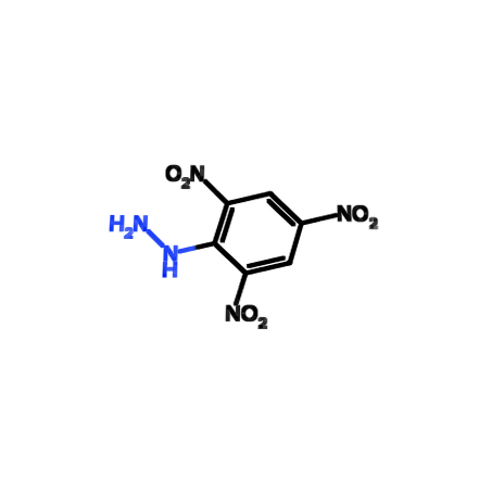 NNc1c([N+](=O)[O-])cc([N+](=O)[O-])cc1[N+](=O)[O-]